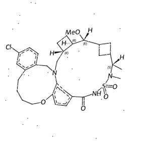 CO[C@@H]1C2CC(C2)[C@H](C)N(C)S(=O)(=O)NC(=O)c2ccc3c(c2)N(Cc2ccc(Cl)cc2CCCCO3)C[C@@H]2CC[C@H]21